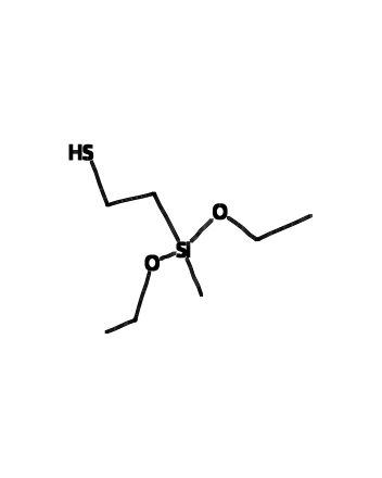 CCO[Si](C)(CCS)OCC